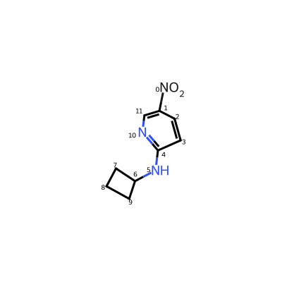 O=[N+]([O-])c1ccc(NC2CCC2)nc1